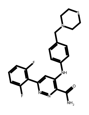 NC(=O)c1nnc(-c2c(F)cccc2F)cc1Nc1ccc(CN2CCSCC2)cc1